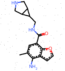 Cc1cc(C(=O)NCC2C3CNCC32)c2occc2c1N